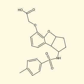 Cc1ccc(S(=O)(=O)NC2CCC3Oc4c(OCC(=O)O)cccc4C23)cc1